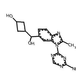 Cc1nc2ccc(C(O)C3CC(O)C3)cc2n1-c1ncnc(N)n1